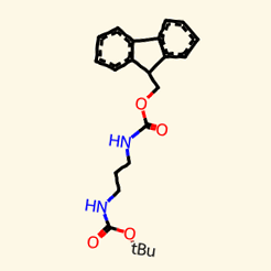 CC(C)(C)OC(=O)NCCCNC(=O)OCC1c2ccccc2-c2ccccc21